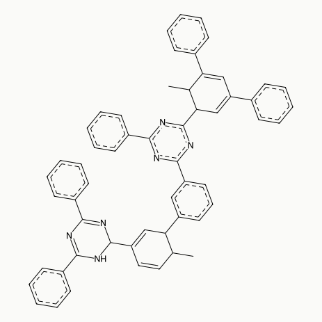 CC1C=CC(C2N=C(c3ccccc3)N=C(c3ccccc3)N2)=CC1c1cccc(-c2nc(-c3ccccc3)nc(C3C=C(c4ccccc4)C=C(c4ccccc4)C3C)n2)c1